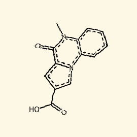 Cn1c(=O)c2cc(C(=O)O)cn2c2ccccc21